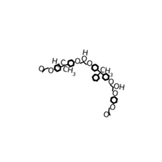 CC(C)(c1ccc(OCC(O)COc2ccc(C(C)(c3ccccc3)c3ccc(OCC(O)COc4ccc(OCC5CO5)cc4)cc3)cc2)cc1)c1ccc(OCC2CO2)cc1